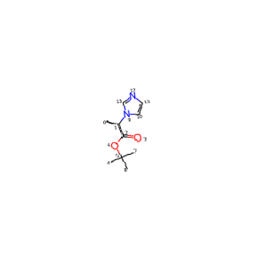 C[C@H](C(=O)OC(C)(C)C)n1ccnc1